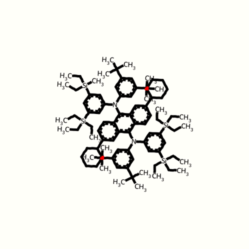 CC[Si](C)(CC)c1cc(N(c2cc(C(C)(C)C)cc(C(C)(C)C)c2)c2c3ccc(C4CCCCC4)cc3c(N(c3cc(C(C)(C)C)cc(C(C)(C)C)c3)c3cc([Si](CC)(CC)CC)cc([Si](CC)(CC)CC)c3)c3ccc(C4CCCCC4)cc23)cc([Si](CC)(CC)CC)c1